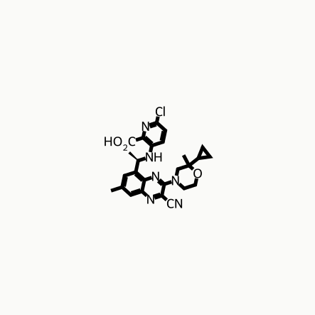 Cc1cc([C@@H](C)Nc2ccc(Cl)nc2C(=O)O)c2nc(N3CCOC(C)(C4CC4)C3)c(C#N)nc2c1